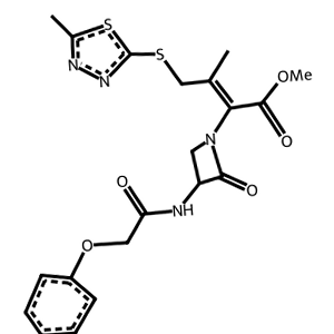 COC(=O)C(=C(C)CSc1nnc(C)s1)N1CC(NC(=O)COc2ccccc2)C1=O